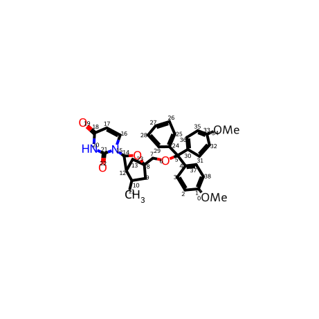 COc1ccc(C(OCC23CC(C)C(C2)C(n2ccc(=O)[nH]c2=O)O3)(c2ccccc2)c2ccc(OC)cc2)cc1